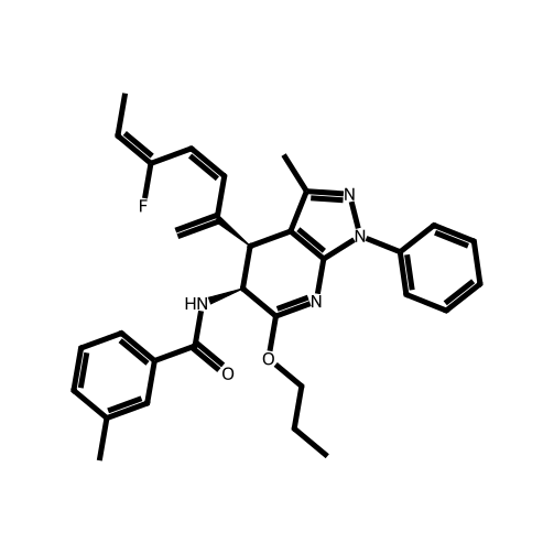 C=C(/C=C\C(F)=C/C)[C@H]1c2c(C)nn(-c3ccccc3)c2N=C(OCCC)[C@H]1NC(=O)c1cccc(C)c1